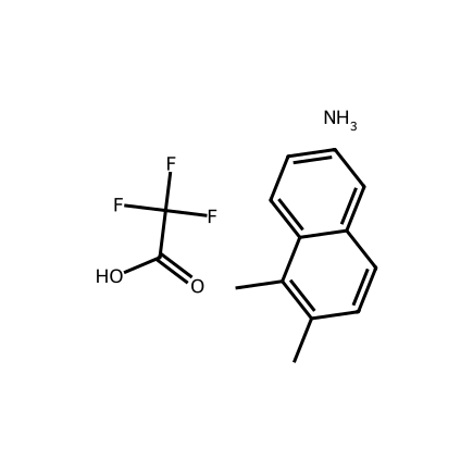 Cc1ccc2ccccc2c1C.N.O=C(O)C(F)(F)F